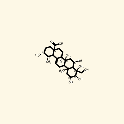 C[C@@H]1CC[C@]2(C(=O)O)CC[C@]3(C)C(=CCC4[C@@]5(C)C[C@@H](O)[C@H](O)[C@@](C)(CO)C5[C@H](O)C[C@]43C)C2[C@H]1C